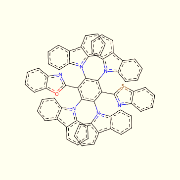 c1ccc2oc(-c3c(-n4c5ccccc5c5ccccc54)c(-n4c5ccccc5c5ccccc54)c(-c4nc5ccccc5s4)c(-n4c5ccccc5c5ccccc54)c3-n3c4ccccc4c4ccccc43)nc2c1